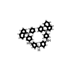 c1ccc(N(c2ccc(Nc3ccc(Nc4ccc(Nc5ccc(N(c6ccccc6)c6cccc7ccccc67)cc5)cc4)cc3)cc2)c2cccc3ccccc23)cc1